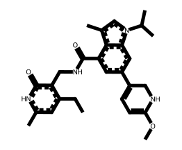 CCc1cc(C)[nH]c(=O)c1CNC(=O)c1cc(C2=CC=C(OC)NC2)cc2c1c(C)cn2C(C)C